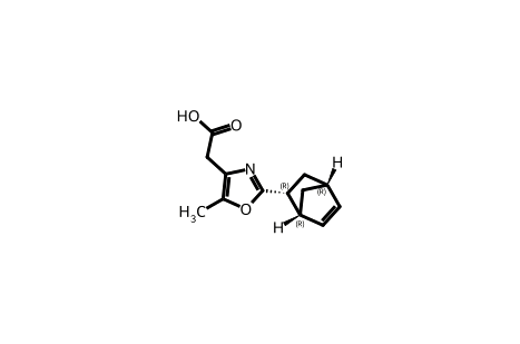 Cc1oc([C@@H]2C[C@@H]3C=C[C@H]2C3)nc1CC(=O)O